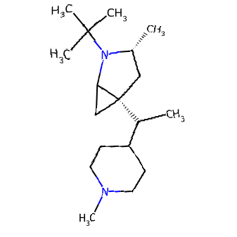 CC(C1CCN(C)CC1)[C@]12CC1N(C(C)(C)C)[C@H](C)C2